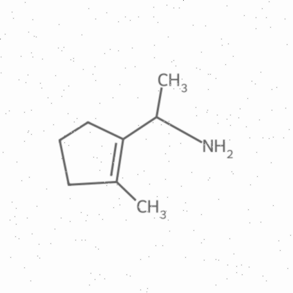 CC1=C(C(C)N)CCC1